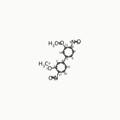 COc1cc(-c2ccc(N=O)c(OC)c2)ccc1N=O